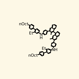 CCCCCCCCc1ccc(-c2ccc(Nc3ccc(-c4cc5cccc(-c6c(C)c(-c7ccc(Nc8ccc(-c9ccc(CCCCCCCC)cc9)c(CC)c8)cc7)cc7ccccc67)c5cc4C)cc3)cc2CC)cc1